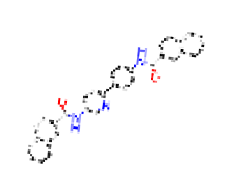 O=C(Nc1ccc(-c2ccc(NC(=O)c3ccc4ccccc4c3)cn2)cc1)c1ccc2ccccc2c1